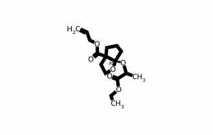 C=CCOC(=O)C12CCC[C@]1(OC(C)C(=O)OCC)OCC2